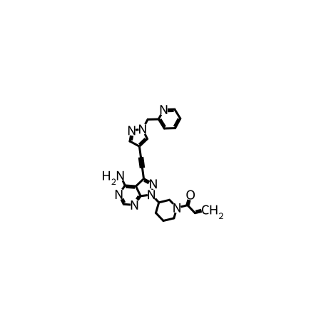 C=CC(=O)N1CCCC(n2nc(C#Cc3cnn(Cc4ccccn4)c3)c3c(N)ncnc32)C1